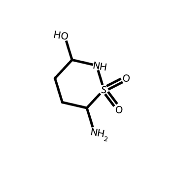 NC1CCC(O)NS1(=O)=O